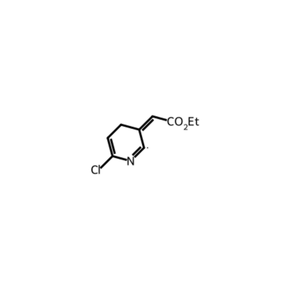 CCOC(=O)C=C1[C]=NC(Cl)=CC1